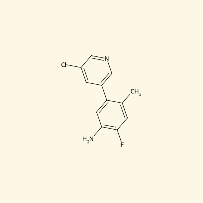 Cc1cc(F)c(N)cc1-c1cncc(Cl)c1